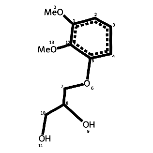 COc1cccc(OCC(O)CO)c1OC